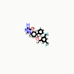 C[C@@H](OC[C@]1(c2ccccc2)CC[C@@](C)(n2cn[nH]c2=O)CC1)c1cc(CF)cc(CF)c1